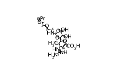 CCCOCCOCCNC(=O)O[C@@H]([C@@H]1OC(C(=O)O)=C[C@H](NC(=N)N)[C@H]1C)[C@H](O)CO